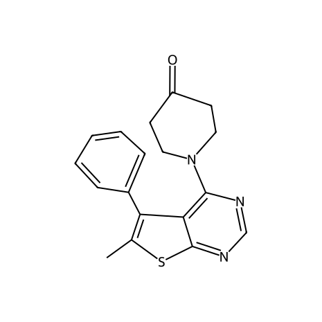 Cc1sc2ncnc(N3CCC(=O)CC3)c2c1-c1ccccc1